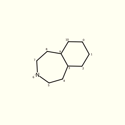 C1CCC2CC[N]CCC2C1